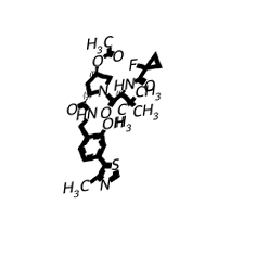 CC(=O)O[C@@H]1C[C@@H](C(=O)NCc2ccc(-c3scnc3C)cc2O)N(C(=O)[C@@H](NC(=O)C2(F)CC2)C(C)(C)C)C1